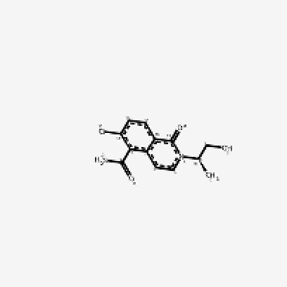 C[C@H](CO)n1ccc2c(C(N)=O)c(Cl)ccc2c1=O